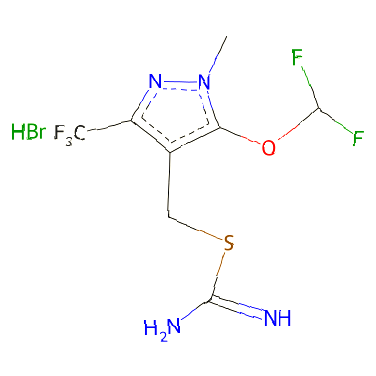 Br.Cn1nc(C(F)(F)F)c(CSC(=N)N)c1OC(F)F